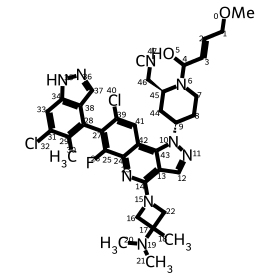 COC/C=C/C(O)N1CC[C@H](n2ncc3c(N4CC(C)(N(C)C)C4)nc4c(F)c(-c5c(C)c(Cl)cc6[nH]ncc56)c(Cl)cc4c32)C[C@H]1CC#N